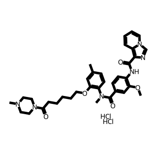 COc1cc(C(=O)N(C)c2ccc(C)cc2OCCCCCC(=O)N2CCN(C)CC2)ccc1NC(=O)c1ncn2ccccc12.Cl.Cl